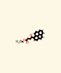 CCOC(=O)CCC(=O)c1ccc2ccc3cccc4ccc1c2c34